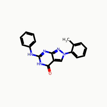 Cc1ccccc1-n1cc2c(=O)[nH]c(Nc3ccccc3)nc2n1